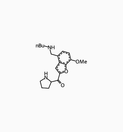 CCCCNCc1ccc(OC)c2oc(C(=O)C3CCCN3)cc12